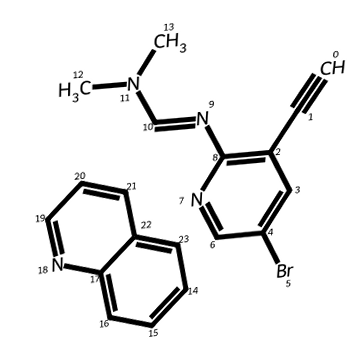 C#Cc1cc(Br)cnc1N=CN(C)C.c1ccc2ncccc2c1